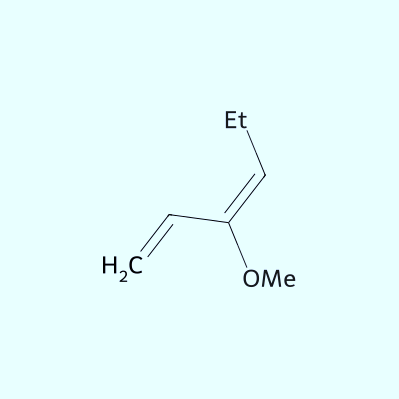 C=CC(=CCC)OC